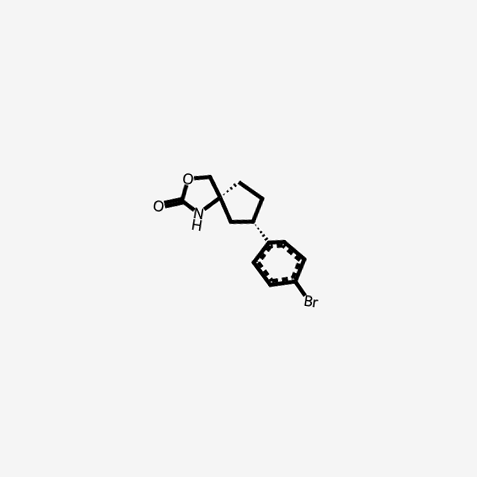 O=C1N[C@@]2(CC[C@H](c3ccc(Br)cc3)C2)CO1